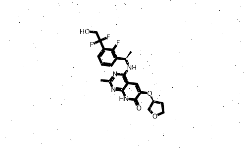 Cc1nc(N[C@H](C)c2cccc(C(F)(F)CO)c2F)c2cc(O[C@H]3CCOC3)c(=O)[nH]c2n1